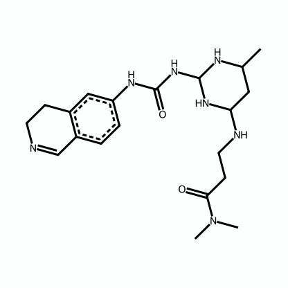 CC1CC(NCCC(=O)N(C)C)NC(NC(=O)Nc2ccc3c(c2)CCN=C3)N1